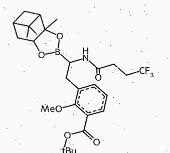 COc1c(CC(NC(=O)CCC(F)(F)F)B2OC3CC4CC(C4(C)C)C3(C)O2)cccc1C(=O)OC(C)(C)C